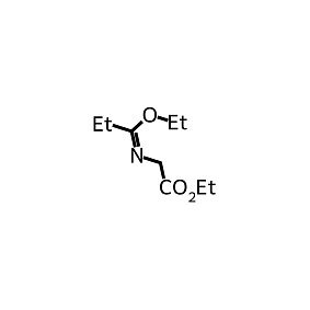 CCOC(=O)C/N=C(/CC)OCC